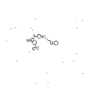 C=C(c1ccc(OCCCCOc2ccccc2)cc1)c1c[nH]c2cc(C(=O)OC)ccc12